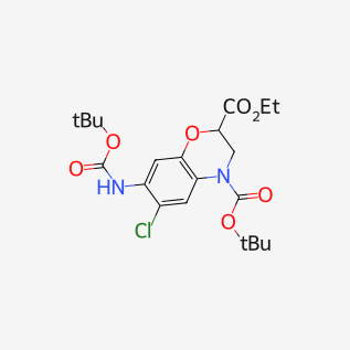 CCOC(=O)C1CN(C(=O)OC(C)(C)C)c2cc(Cl)c(NC(=O)OC(C)(C)C)cc2O1